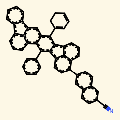 N#Cc1ccc2cc(-c3ccc4c5c(-c6ccccc6)c6c(cc7c8ccccc8c8cccc6c87)c(C6=CC=CCC6)c5c5cccc3c54)ccc2c1